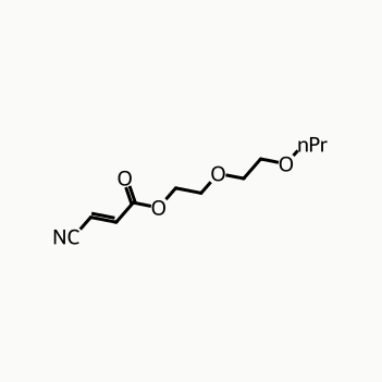 CCCOCCOCCOC(=O)C=CC#N